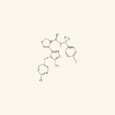 Cc1nnc(C2CCCN2C(=O)NC2(c3ccc(Cl)cc3)CC2)n1Cc1ccc(Cl)cc1